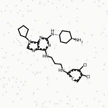 N[C@H]1CC[C@H](Nc2nc(NCCCNc3ccc(Cl)c(Cl)c3)c3ncn(C4CCCC4)c3n2)CC1